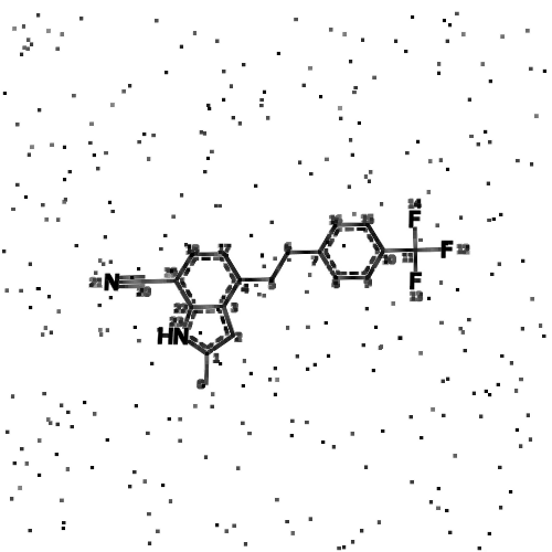 Cc1cc2c(CCc3ccc(C(F)(F)F)cc3)ccc(C#N)c2[nH]1